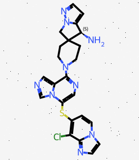 N[C@@H]1c2ccnn2CC12CCN(c1ncc(Sc3ccn4ccnc4c3Cl)n3cncc13)CC2